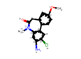 COc1ccc2c(c1)CC(=O)N(C)c1cc(N)c(Cl)cc1-2